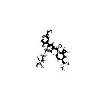 CCc1cc(-c2cc(C(=O)N3CCC(C(=O)OC)CC34CC4)nn2COCC[Si](C)(C)C)c(F)cn1